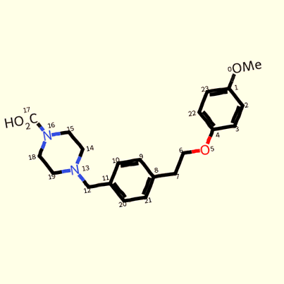 COc1ccc(OCCc2ccc(CN3CCN(C(=O)O)CC3)cc2)cc1